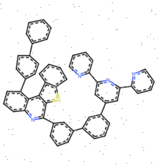 c1ccc(-c2ccc(-c3cccc4nc(-c5cccc(-c6cccc(-c7cc(-c8ccccn8)nc(-c8ccccn8)c7)c6)c5)c5sc6ccccc6c5c34)cc2)cc1